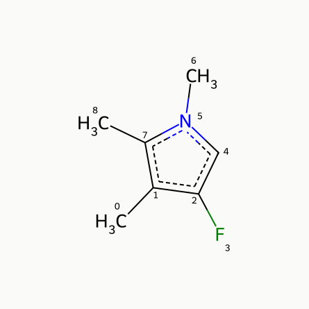 Cc1c(F)cn(C)c1C